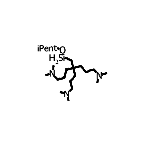 CCCC(C)O[SiH2]CC(CCCN(C)C)(CCCN(C)C)CCCN(C)C